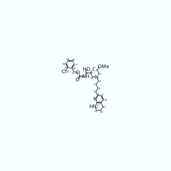 COCCN(CCCCc1ccc2c(n1)NCCC2)CCC(NC(=O)OCc1ccccc1Cl)C(=O)O